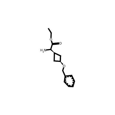 CCOC(=O)C(N)[C@H]1C[C@@H](OCc2ccccc2)C1